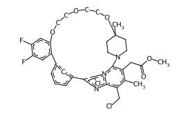 COC(=O)Cc1c(C)c(CCl)c2nc3c(Cl)n2c1N1CCC(C)(CC1)OCCOCCOc1cc(F)c(F)cc1-c1cccc-3c1